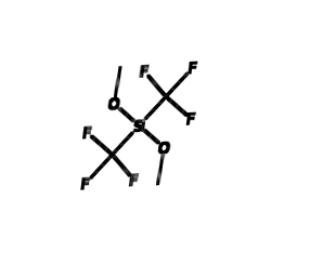 CO[Si](OC)(C(F)(F)F)C(F)(F)F